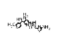 Cc1cc(C(=N)c2cnc(NC(=O)NCc3nc(N)cs3)cc2N)ccn1